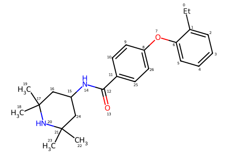 CCc1ccccc1Oc1ccc(C(=O)NC2CC(C)(C)NC(C)(C)C2)cc1